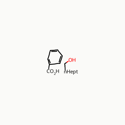 CCCCCCCCO.O=C(O)c1ccccc1